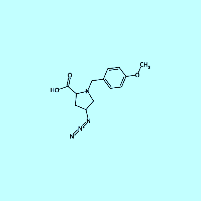 COc1ccc(CN2CC(N=[N+]=[N-])CC2C(=O)O)cc1